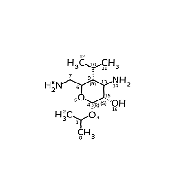 CC(C)O[C@@H]1OC(CN)[C@H](C(C)C)C(N)[C@@H]1O